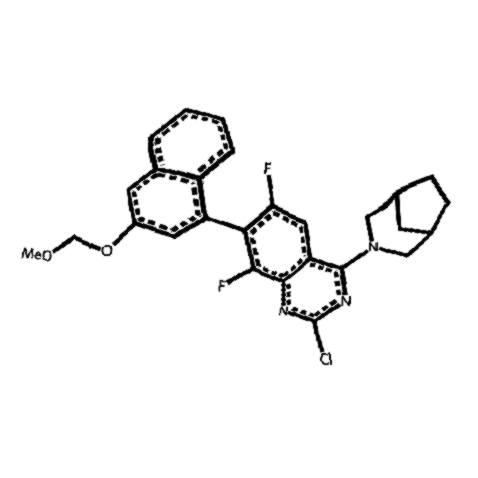 COCOc1cc(-c2c(F)cc3c(N4CC5CCC(C5)C4)nc(Cl)nc3c2F)c2ccccc2c1